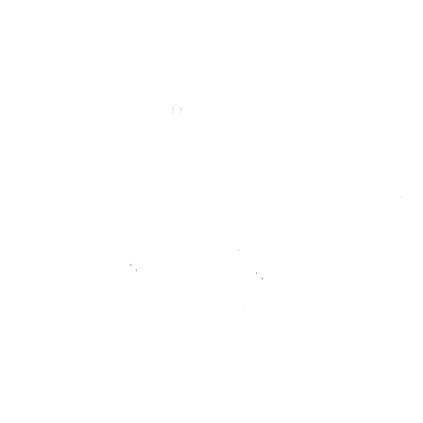 CN(Cc1cc(C(F)(F)F)cc(C(F)(F)F)c1)C(=O)C1=C(c2ccccc2)CN(Cc2ccccc2)CC1.Cl